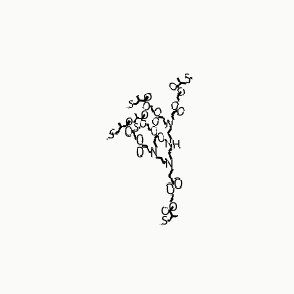 CSCC(C)C(=O)OCCOC(=O)CCN(CCCNCCCN(CCC(=O)OCCOC(=O)C(C)CSC)CCC(=O)OCCOC(=O)C(C)CSC)CCCN(CCC(=O)OCCOC(=O)C(C)CSC)CCC(=O)OCCOC(=O)C(C)CSC